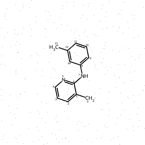 [CH2]c1cccnc1Nc1cccc(C)c1